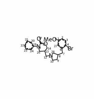 COc1ccc(Br)c(CC2CCN(CC3COC(=O)N(c4ccccc4)C3)C2)c1